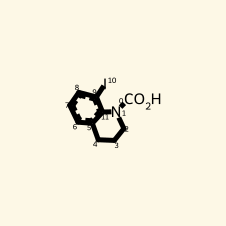 O=C(O)N1CCCc2cccc(I)c21